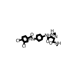 CNC(=O)c1nc[nH]c1C(=O)Nc1ccc(NC(=O)c2ccc(Cl)c(Cl)c2)cc1